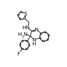 NC1(c2ccc(F)cc2)Nc2ccccc2N=C1NCc1cccs1